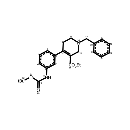 CCOC(=O)C1=C(c2cccc(NC(=O)OC(C)(C)C)c2)CCN(Cc2ccccc2)C1